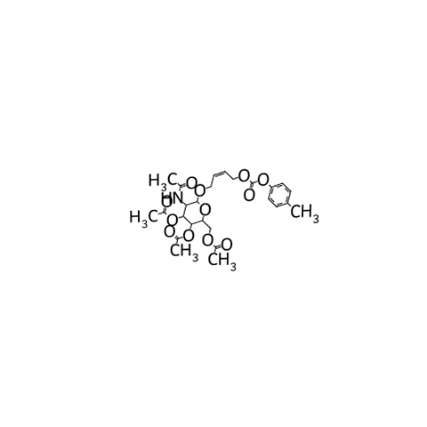 CC(=O)NC1C(OC/C=C\COC(=O)Oc2ccc(C)cc2)OC(COC(C)=O)C(OC(C)=O)C1OC(C)=O